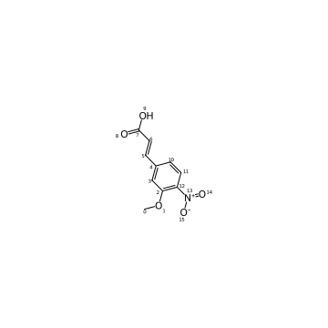 COc1cc(C=CC(=O)O)ccc1[N+](=O)[O-]